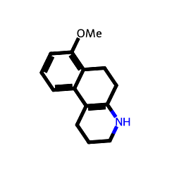 COc1cccc2c1CCC1=C2CCCN1